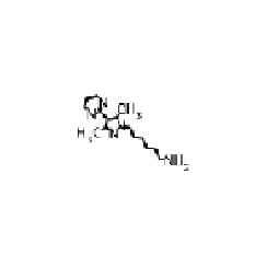 Cc1nn(CCCCCCN)c(C)c1-c1ncccn1